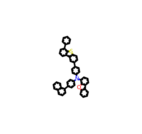 c1ccc(-c2cccc3c2sc2ccc(-c4ccc(N(c5ccc(-c6cccc7ccccc67)cc5)c5cccc6c5oc5ccccc56)cc4)cc23)cc1